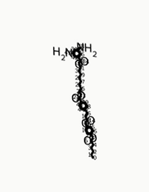 CCCCCC(=O)Oc1ccc(OC(=O)C=Cc2ccc(C(=O)OCCCCCCCCOC(=O)c3cc(N)cc(N)c3)cc2)cc1